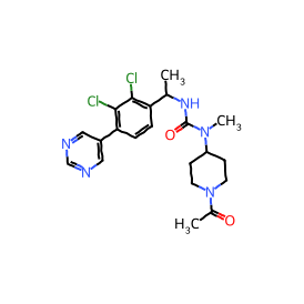 CC(=O)N1CCC(N(C)C(=O)NC(C)c2ccc(-c3cncnc3)c(Cl)c2Cl)CC1